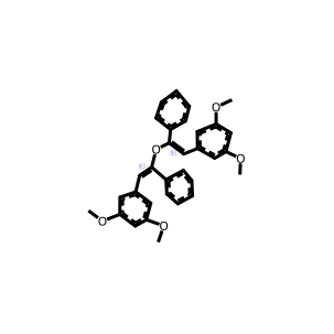 COc1cc(/C=C(/O/C(=C/c2cc(OC)cc(OC)c2)c2ccccc2)c2ccccc2)cc(OC)c1